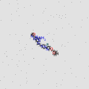 [2H]C([2H])([2H])OCCOc1cnc(N2CCN(CCN(C)c3cc4nc(-c5ncco5)nn4c(N)n3)CC2)c(F)c1